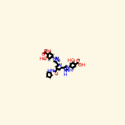 O=C(NC1CCCCC1)c1cc(C2=CN(c3ccc(C(=O)O)c(O)c3)NN2)nc(-c2cn(-c3ccc(C(=O)O)c(O)c3)nn2)c1